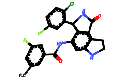 O=C(Nc1cc2c(c3c1C(c1cc(F)ccc1Cl)NC3=O)CCN2)c1cc(F)cc(C(F)(F)F)c1